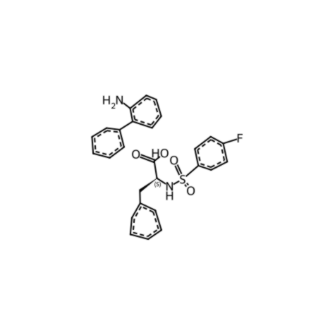 Nc1ccccc1-c1ccccc1.O=C(O)[C@H](Cc1ccccc1)NS(=O)(=O)c1ccc(F)cc1